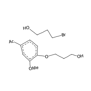 COc1cc(C(C)=O)ccc1OCCCO.OCCCBr